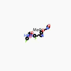 COc1cc2c(CCc3ccc(NC(=O)C4(C(=O)Nc5ccc(F)cc5)CC4)cc3F)ccnc2cc1OCCCN1CCOCC1